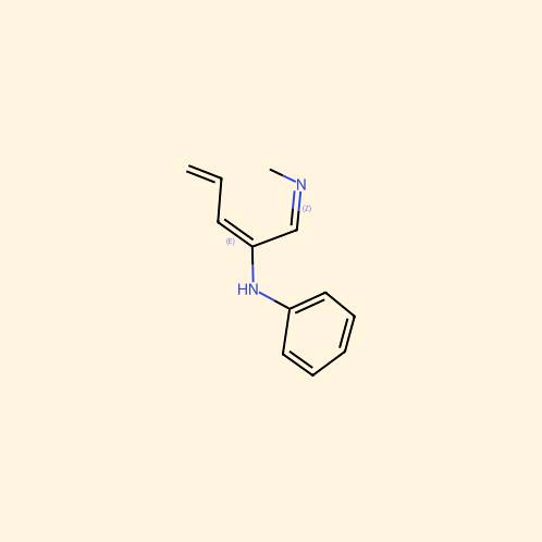 C=C/C=C(\C=N/C)Nc1ccccc1